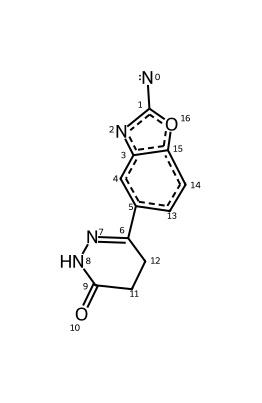 [N]c1nc2cc(C3=NNC(=O)CC3)ccc2o1